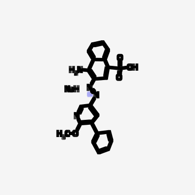 COc1ncc(/N=N/c2cc(S(=O)(=O)O)c3ccccc3c2N)cc1-c1ccccc1.[NaH]